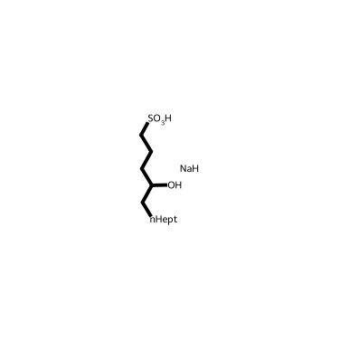 CCCCCCCCC(O)CCCS(=O)(=O)O.[NaH]